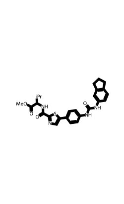 COC(=O)C(NC(=O)c1ncc(-c2ccc(NC(=O)Nc3ccc4c(c3)CCC4)cc2)s1)C(C)C